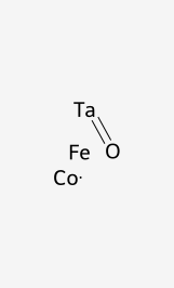 [Co].[Fe].[O]=[Ta]